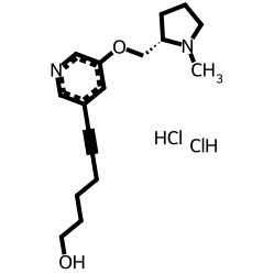 CN1CCC[C@H]1COc1cncc(C#CCCCCO)c1.Cl.Cl